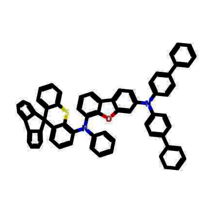 C1=CCCC(c2ccc(N(c3ccc(-c4ccccc4)cc3)c3ccc4c(c3)oc3c(N(c5ccccc5)c5cccc6c5Sc5ccccc5C65c6ccccc6-c6ccccc65)cccc34)cc2)=C1